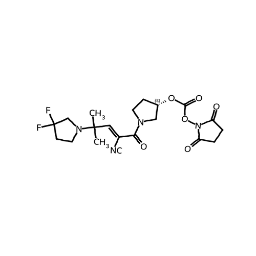 CC(C)(C=C(C#N)C(=O)N1CC[C@H](OC(=O)ON2C(=O)CCC2=O)C1)N1CCC(F)(F)C1